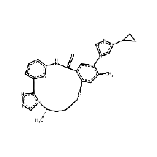 Cc1cc2c(cc1-n1cnc(C3CC3)c1)C(=O)Nc1cccc(n1)-c1nncn1[C@@H](C)CCCO2